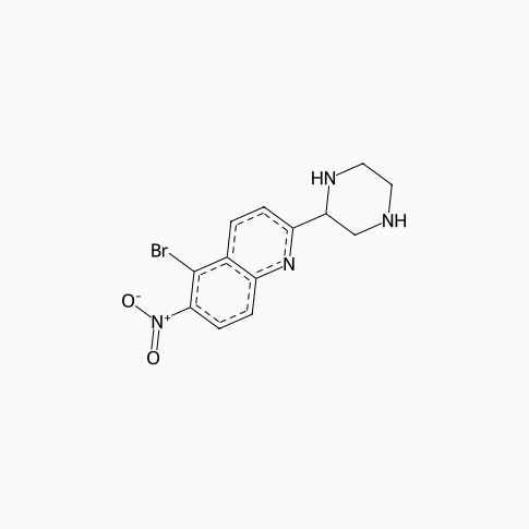 O=[N+]([O-])c1ccc2nc(C3CNCCN3)ccc2c1Br